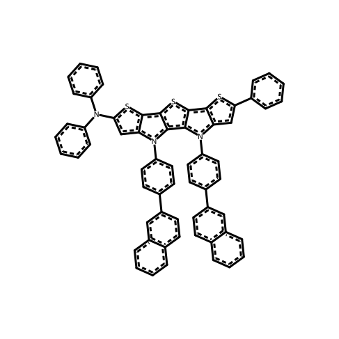 c1ccc(-c2cc3c(s2)c2sc4c5sc(N(c6ccccc6)c6ccccc6)cc5n(-c5ccc(-c6ccc7ccccc7c6)cc5)c4c2n3-c2ccc(-c3ccc4ccccc4c3)cc2)cc1